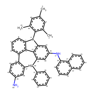 Cc1cc(C)c(B2c3cccc4c3-c3c2cc(Nc2cccc5ccccc25)cc3[SiH](c2ccccc2)c2cc(N)ccc2-4)c(C)c1